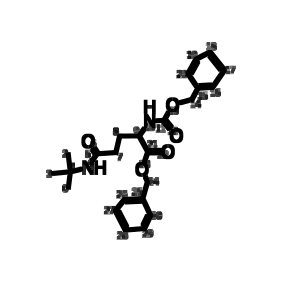 CC(C)(C)NC(=O)CCC(NC(=O)OCc1ccccc1)C(=O)OCc1ccccc1